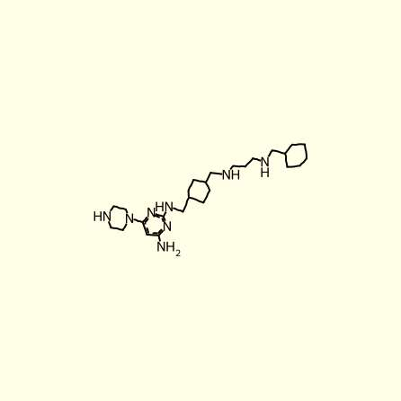 Nc1cc(N2CCNCC2)nc(NCC2CCC(CNCCCNCC3CCCCC3)CC2)n1